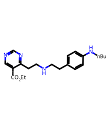 CCCCNc1ccc(CCNCCc2ncncc2C(=O)OCC)cc1